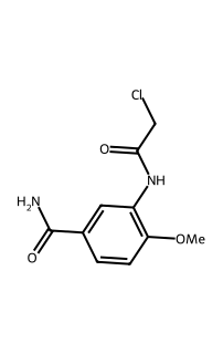 COc1ccc(C(N)=O)cc1NC(=O)CCl